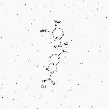 COc1ccc(S(=O)(=O)N(C)c2ccc3oc(C(=O)NO)cc3c2)cc1OC